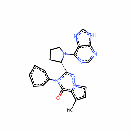 N#Cc1ccn2nc([C@@H]3CCCN3c3ncnc4[nH]cnc34)n(-c3ccccc3)c(=O)c12